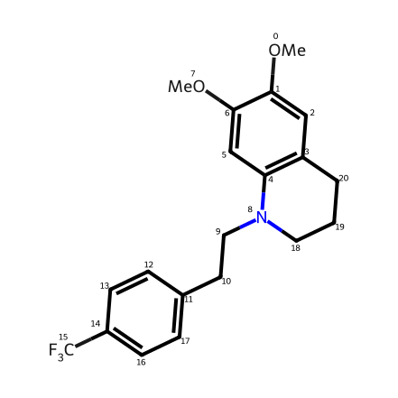 COc1cc2c(cc1OC)N(CCc1ccc(C(F)(F)F)cc1)CCC2